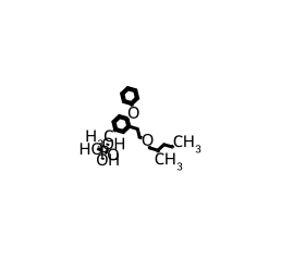 CCCC(C)COCCc1cc(C)ccc1Oc1ccccc1.O=P(O)(O)O